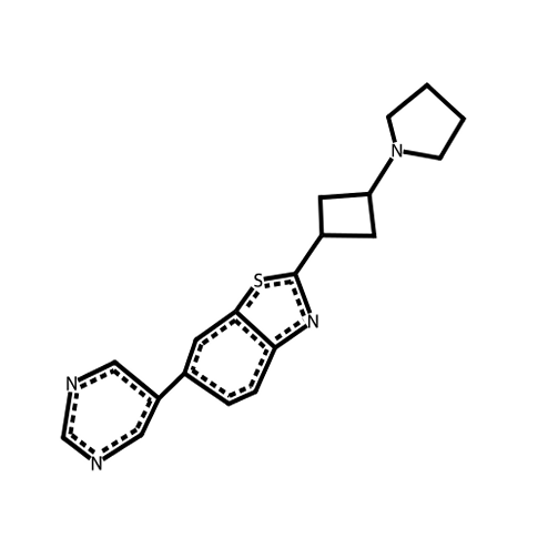 c1ncc(-c2ccc3nc(C4CC(N5CCCC5)C4)sc3c2)cn1